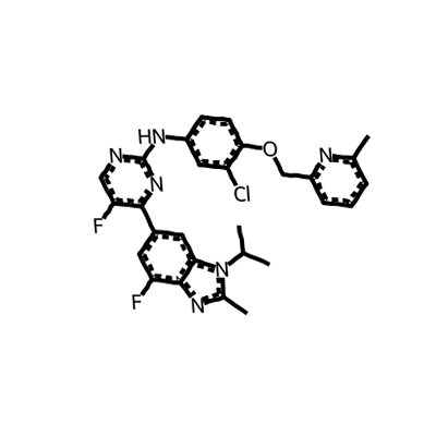 Cc1cccc(COc2ccc(Nc3ncc(F)c(-c4cc(F)c5nc(C)n(C(C)C)c5c4)n3)cc2Cl)n1